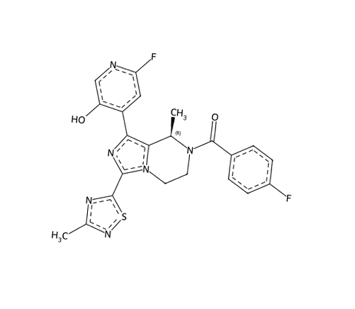 Cc1nsc(-c2nc(-c3cc(F)ncc3O)c3n2CCN(C(=O)c2ccc(F)cc2)[C@@H]3C)n1